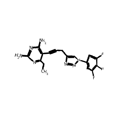 CCc1nc(N)nc(N)c1C#CCc1cn(-c2cc(F)c(F)c(F)c2)nn1